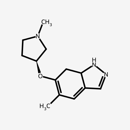 CC1=C(O[C@H]2CCN(C)C2)CC2NN=CC2=C1